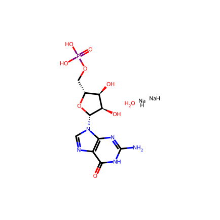 Nc1nc2c(ncn2[C@@H]2O[C@H](COP(=O)(O)O)[C@@H](O)[C@H]2O)c(=O)[nH]1.O.[NaH].[NaH]